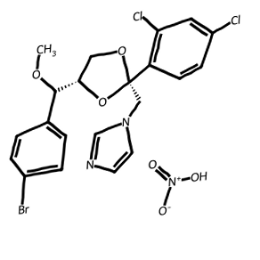 COC(c1ccc(Br)cc1)[C@@H]1CO[C@@](Cn2ccnc2)(c2ccc(Cl)cc2Cl)O1.O=[N+]([O-])O